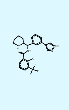 Cn1cc(-c2cccc([C@H](NC(=O)c3ccnc(C(F)(F)F)c3Cl)[C@@H]3CCCCN3)c2)cn1